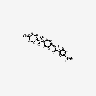 O=C(Nc1ccc(S(=O)(=O)N2CCC(Cl)CC2)cc1)c1ccc([N+](=O)[O-])o1